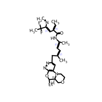 C=N/C(=C\C(=C/C)C(=O)N/C(C)=C/C=C(/C)Cc1cc2c(nn1)OC(CC)[C@@H]1COCCN21)C(C)(F)F